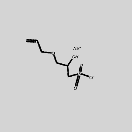 C=CCOCC(O)CS(=O)(=O)[O-].[Na+]